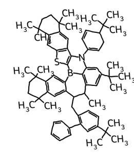 CC1c2cc(C(C)(C)C)cc3c2B(c2cc4c(cc2C1Cc1ccc(C(C)(C)C)cc1-c1ccccc1)C(C)(C)CCC4(C)C)c1sc2cc4c(cc2c1N3C1=CCC(C(C)(C)C)C=C1)C(C)(C)CCC4(C)C